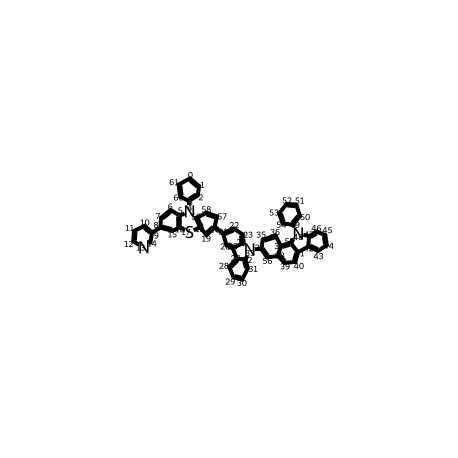 c1ccc(N2c3ccc(-c4cccnc4)cc3Sc3cc(-c4ccc5c(c4)c4ccccc4n5-c4ccc5c(ccc6c7ccccc7n(-c7ccccc7)c56)c4)ccc32)cc1